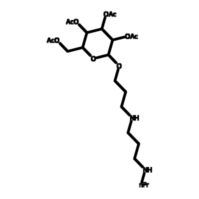 CCCNCCCNCCCOC1OC(COC(C)=O)C(OC(C)=O)C(OC(C)=O)C1OC(C)=O